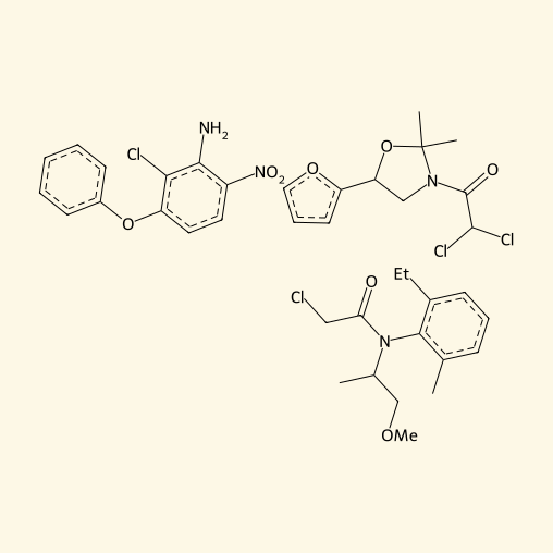 CC1(C)OC(c2ccco2)CN1C(=O)C(Cl)Cl.CCc1cccc(C)c1N(C(=O)CCl)C(C)COC.Nc1c([N+](=O)[O-])ccc(Oc2ccccc2)c1Cl